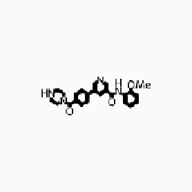 COc1ccccc1NC(=O)c1cncc(-c2ccc(C(=O)N3CCNCC3)cc2)c1